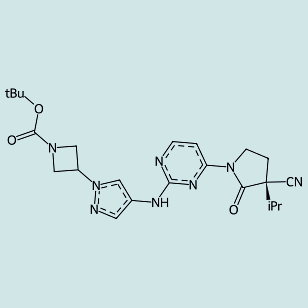 CC(C)[C@]1(C#N)CCN(c2ccnc(Nc3cnn(C4CN(C(=O)OC(C)(C)C)C4)c3)n2)C1=O